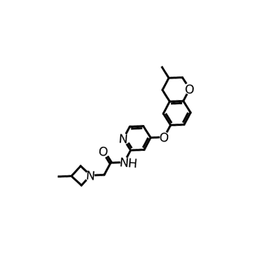 CC1COc2ccc(Oc3ccnc(NC(=O)CN4CC(C)C4)c3)cc2C1